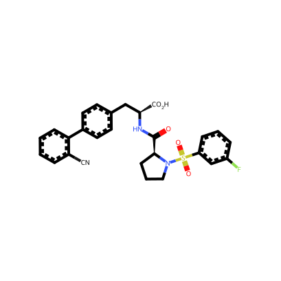 N#Cc1ccccc1-c1ccc(C[C@H](NC(=O)[C@@H]2CCCN2S(=O)(=O)c2cccc(F)c2)C(=O)O)cc1